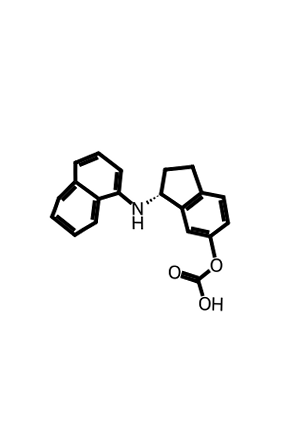 O=C(O)Oc1ccc2c(c1)[C@H](Nc1cccc3ccccc13)CC2